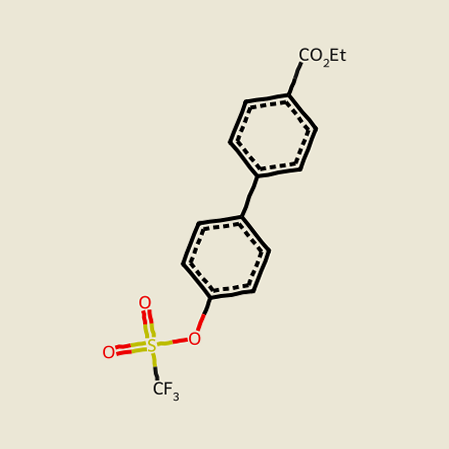 CCOC(=O)c1ccc(-c2ccc(OS(=O)(=O)C(F)(F)F)cc2)cc1